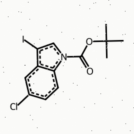 CC(C)(C)OC(=O)n1cc(I)c2cc(Cl)ccc21